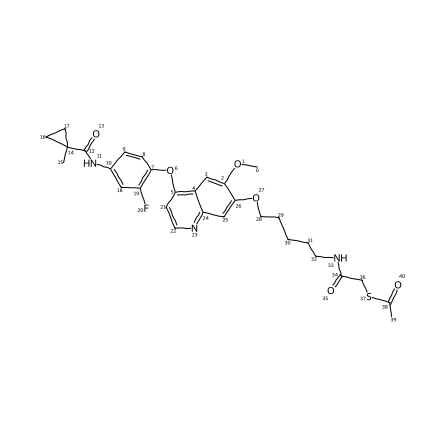 COc1cc2c(Oc3ccc(NC(=O)C4(C)CC4)cc3F)ccnc2cc1OCCCCCNC(=O)CSC(C)=O